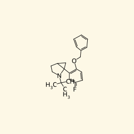 CC(C)(C)N1CCC2CC21c1cc(F)ccc1OCc1ccccc1